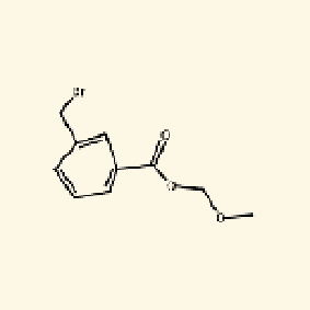 COCOC(=O)c1cccc(CBr)c1